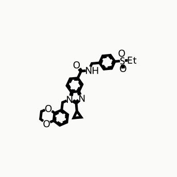 CCS(=O)(=O)c1ccc(CNC(=O)c2ccc3c(c2)nc(C2CC2)n3Cc2cccc3c2OCCO3)cc1